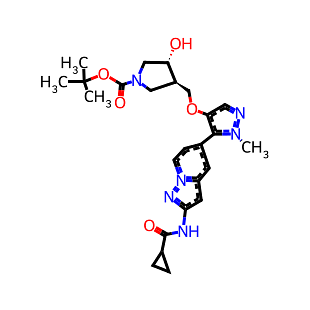 Cn1ncc(OC[C@H]2CN(C(=O)OC(C)(C)C)C[C@@H]2O)c1-c1ccn2nc(NC(=O)C3CC3)cc2c1